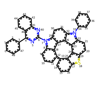 c1ccc(-c2nc(-n3c4cccc5c6cccc7sc8ccc9c(c8c76)c6c(c54)c3ccc6n9-c3ccccc3)nc3ccccc23)cc1